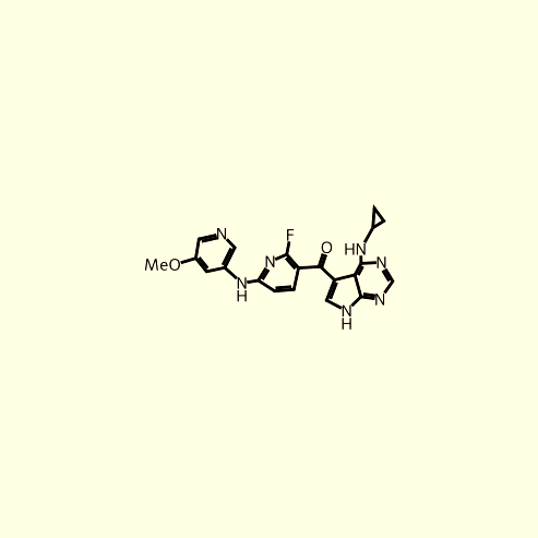 COc1cncc(Nc2ccc(C(=O)c3c[nH]c4ncnc(NC5CC5)c34)c(F)n2)c1